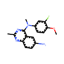 COc1ccc(N(C)c2nc(C)nc3ccc(N)cc23)cc1F